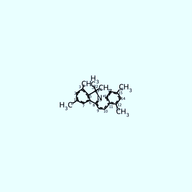 Cc1cc(C)c2c(c1)-c1ccc3c(C)cc(C)cc3[n+]1C2(C)C